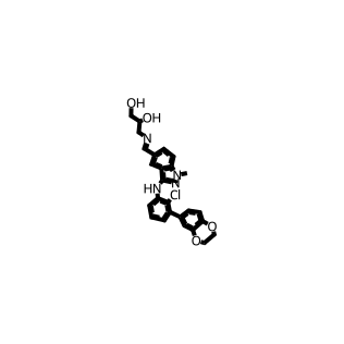 Cn1nc(Nc2cccc(-c3ccc4c(c3)OCCO4)c2Cl)c2cc(C=NCC(O)CO)ccc21